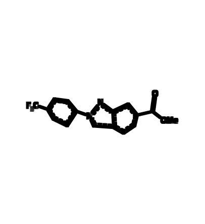 COC(=O)c1ccc2cn(-c3ccc(C(F)(F)F)cc3)nc2c1